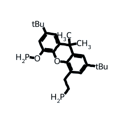 CC(C)(C)c1cc(CCP)c2c(c1)C(C)(C)c1cc(C(C)(C)C)cc(OP)c1O2